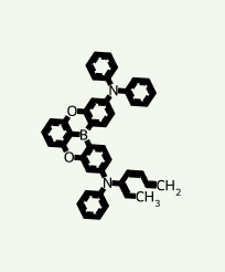 C=C/C=C\C(=C/C)N(c1ccccc1)c1ccc2c(c1)Oc1cccc3c1B2c1ccc(N(c2ccccc2)c2ccccc2)cc1O3